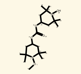 CON1C(C)(C)CC(OC(=O)OC2CC(C)(C)N(O)C(C)(C)C2)CC1(C)C